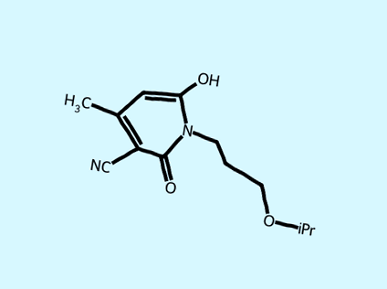 Cc1cc(O)n(CCCOC(C)C)c(=O)c1C#N